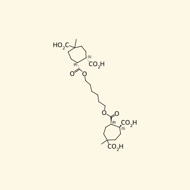 CC1(C(=O)O)CC[C@H](C(=O)O)[C@H](C(=O)OCCCCCCOC(=O)[C@@H]2CCC(C)(C(=O)O)CC[C@@H]2C(=O)O)CC1